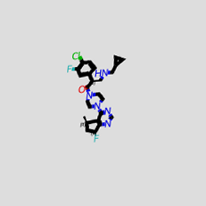 C[C@@H]1C[C@@H](F)c2ncnc(N3CCN(C(=O)[C@H](CNCC4CC4)c4ccc(Cl)c(F)c4)CC3)c21